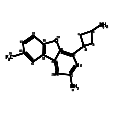 Nc1nc(N2CC(N)C2)c2oc3ccc(C(F)(F)F)cc3c2n1